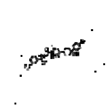 C[C@H](CC(=N)C1CCC(O)(c2ccc(Br)cc2)CC1)NC(=O)CNC(=O)c1cccc(C(F)(F)F)c1